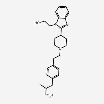 CC(Cc1ccc(CCN2CCC(c3nc4ccccc4n3CCO)CC2)cc1)C(=O)O